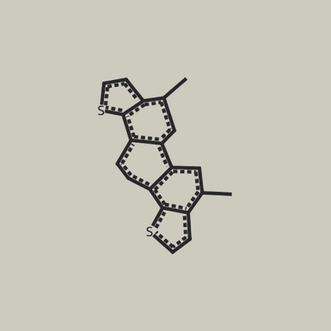 Cc1cc2c3cc(C)c4ccsc4c3ccc2c2sccc12